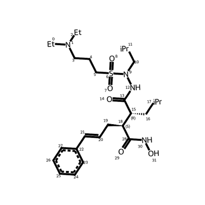 CCN(CC)CCCS(=O)(=O)N(CC(C)C)NC(=O)[C@H](CC(C)C)[C@H](CC=Cc1ccccc1)C(=O)NO